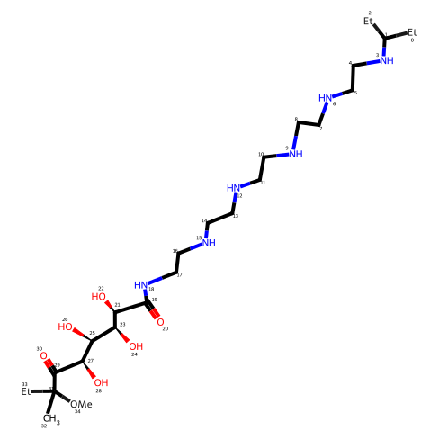 CCC(CC)NCCNCCNCCNCCNCCNC(=O)[C@H](O)[C@@H](O)[C@H](O)[C@@H](O)C(=O)C(C)(CC)OC